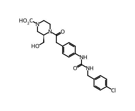 O=C(NCc1ccc(Cl)cc1)Nc1ccc(CC(=O)N2CCN(C(=O)O)C[C@@H]2CO)cc1